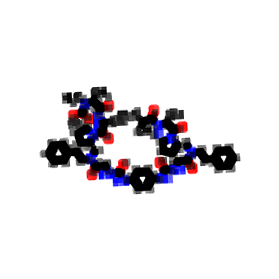 CN[C@@H](C)C(=O)N[C@H](C(=O)N1CCC[C@H]1CN(CCc1ccccc1)C(=O)CNC(=O)Nc1ccc(NC(=O)NCC(=O)N(CCc2ccccc2)C[C@@H]2CCCN2C(=O)[C@@H](NC(=O)[C@H](C)N(C)C(=O)OC(C)(C)C)C(C)(C)C)cc1)C(C)(C)C